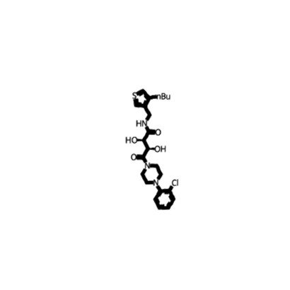 CCCCc1cscc1CNC(=O)[C@H](O)[C@@H](O)C(=O)N1CCN(c2ccccc2Cl)CC1